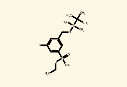 CCOP(C)(=O)c1cc(F)cc(CO[Si](C)(C)C(C)(C)C)c1